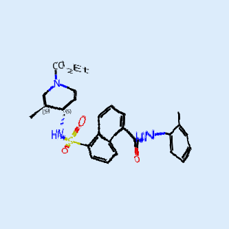 CCOC(=O)N1CC[C@H](NS(=O)(=O)c2cccc3c(C(=O)Nc4ccccc4C)cccc23)[C@@H](C)C1